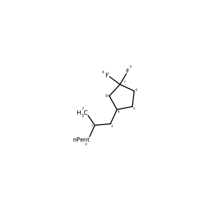 CCCCCC(C)CC1CCC(F)(F)C1